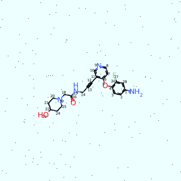 Nc1ccc(Oc2ccncc2C#CCNC(=O)CN2CCC(O)CC2)c(F)c1